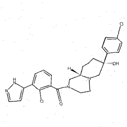 O=C(c1cccc(-c2ccn[nH]2)c1Cl)N1CCN2C[C@](O)(c3ccc(Cl)cc3)CC[C@H]2C1